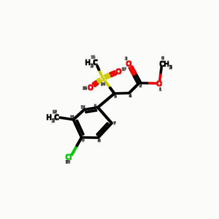 COC(=O)CC(c1ccc(Cl)c(C)c1)S(C)(=O)=O